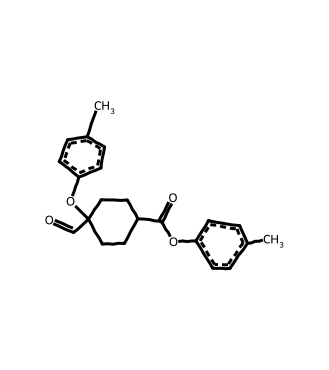 Cc1ccc(OC(=O)C2CCC(C=O)(Oc3ccc(C)cc3)CC2)cc1